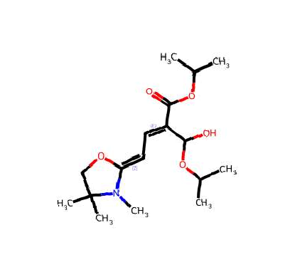 CC(C)OC(=O)/C(=C/C=C1\OCC(C)(C)N1C)C(O)OC(C)C